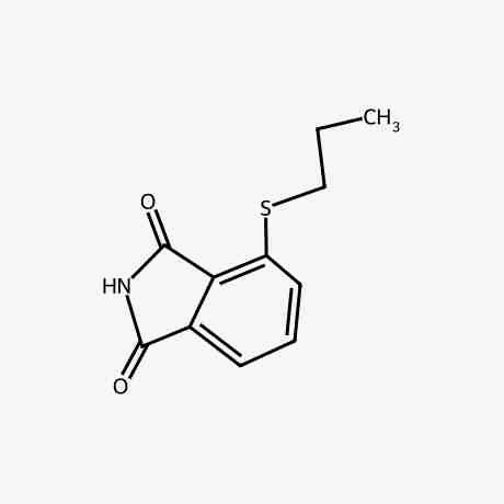 CCCSc1cccc2c1C(=O)NC2=O